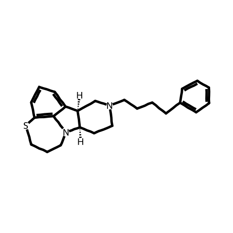 c1ccc(CCCCN2CC[C@@H]3[C@H](C2)c2cccc4c2N3CCCS4)cc1